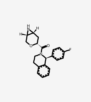 O=C([C@H]1C[C@H]2N[C@H]2CO1)N1CCc2ccccc2[C@@H]1c1ccc(F)cc1